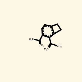 C=C(C)c1ccc2c(c1C(=C)C)CC2